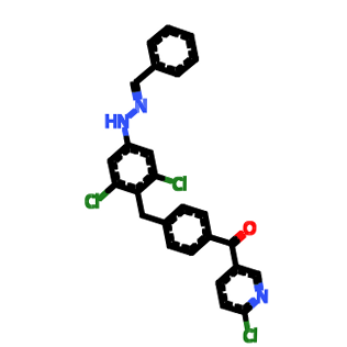 O=C(c1ccc(Cc2c(Cl)cc(NN=Cc3ccccc3)cc2Cl)cc1)c1ccc(Cl)nc1